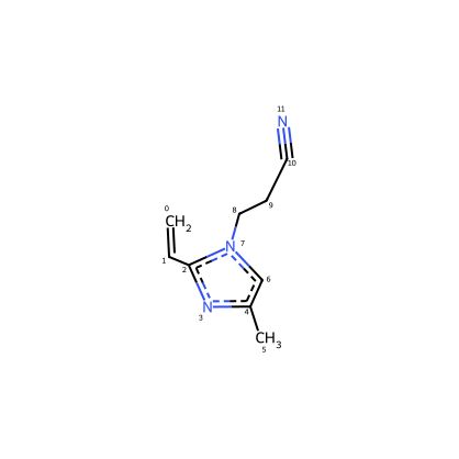 C=Cc1nc(C)cn1CCC#N